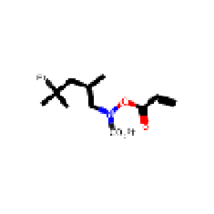 C=CC(=O)ON(CC(C)CC(C)(C)CC)C(=O)OCC